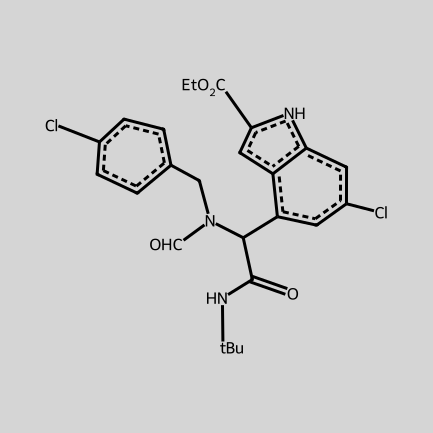 CCOC(=O)c1cc2c(C(C(=O)NC(C)(C)C)N(C=O)Cc3ccc(Cl)cc3)cc(Cl)cc2[nH]1